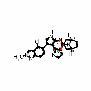 Cn1cc2c(Cl)c(-c3c[nH]c4nc(N5[C@@H]6CC[C@H]5CC(C)(N)C6)n5ccnc5c34)ccc2n1